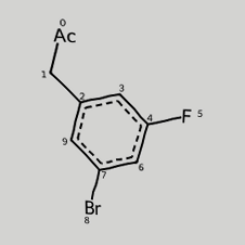 CC(=O)Cc1cc(F)cc(Br)c1